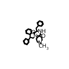 CN1CCC2(CC1)C(=O)NC(Cc1ccccc1)C(=O)N2CC(c1ccccc1)c1ccccc1